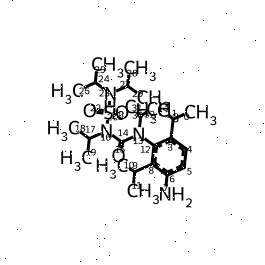 CC(C)c1ccc(N)c(C(C)C)c1N(C(=O)N(C(C)C)S(=O)(=O)N(C(C)C)C(C)C)C(C)C